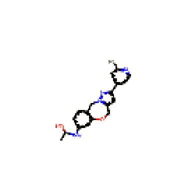 CC(O)Nc1ccc2c(c1)OCc1cc(-c3ccnc(C#N)c3)nn1C2